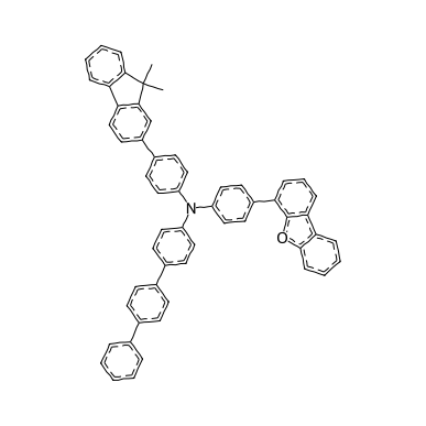 CC1(C)c2ccccc2-c2ccc(-c3ccc(N(c4ccc(-c5ccc(-c6ccccc6)cc5)cc4)c4ccc(-c5cccc6c5oc5ccccc56)cc4)cc3)cc21